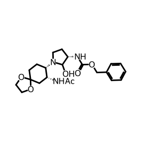 CC(=O)N[C@@H]1CC2(CC[C@@H]1N1CC[C@H](NC(=O)OCc3ccccc3)C1O)OCCO2